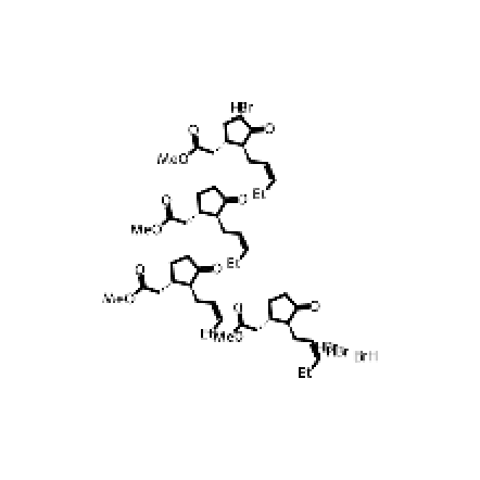 Br.Br.Br.Br.CC/C=C\C[C@@H]1C(=O)CC[C@H]1CC(=O)OC.CC/C=C\C[C@@H]1C(=O)CC[C@H]1CC(=O)OC.CC/C=C\C[C@@H]1C(=O)CC[C@H]1CC(=O)OC.CC/C=C\C[C@@H]1C(=O)CC[C@H]1CC(=O)OC